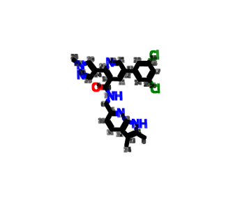 Cc1[nH]c2nc(CNC(=O)c3cc(-c4cc(Cl)cc(Cl)c4)cnc3-c3cnn(C)c3)ccc2c1C